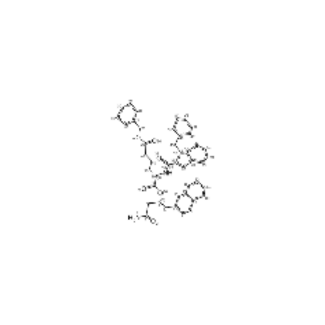 NC(=O)C[C@H](Cc1ccc2ccccc2c1)OC(=O)[C@H](CCCC(=O)OCc1ccccc1)NC(=O)c1cc2ccccc2n1Cc1ccccc1